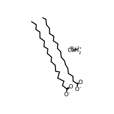 CCCCCCCCCCCCCCCCCC(=O)[O-].CCCCCCCCCCCCCCCCCC(=O)[O-].[Ba+2].[CaH2]